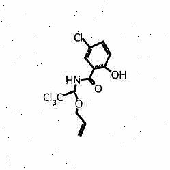 C=CCOC(NC(=O)c1cc(Cl)ccc1O)C(Cl)(Cl)Cl